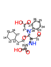 O=C(O)CN1C(=O)[C@@H](N[C@@H](CCC2CCCCC2)C(=O)O)COc2ccccc21